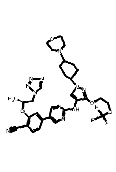 C[C@@H](Cn1cnnn1)Oc1cc(-c2cnc(Nc3cn(C4CCC(N5CCOCC5)CC4)nc3OCCOC(F)(F)F)nc2)ccc1C#N